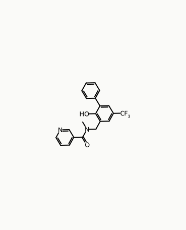 CN(Cc1cc(C(F)(F)F)cc(-c2ccccc2)c1O)C(=O)c1cccnc1